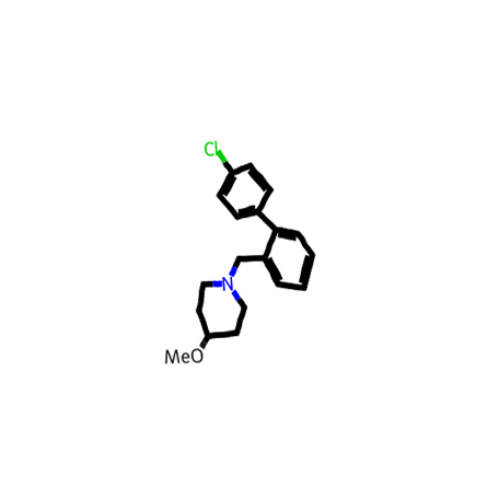 COC1CCN(Cc2ccccc2-c2ccc(Cl)cc2)CC1